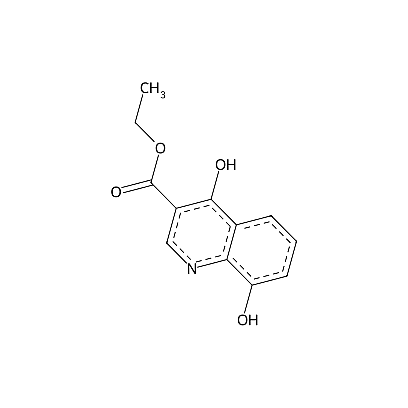 CCOC(=O)c1cnc2c(O)cccc2c1O